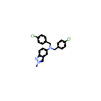 Cn1cc2cc(N(Cc3ccc(Cl)cc3)Cc3ccc(Cl)cc3)ccc2n1